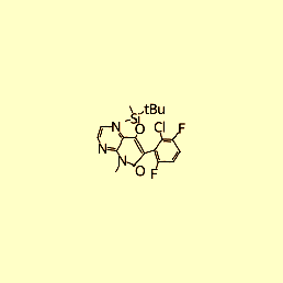 Cn1c(=O)c(-c2c(F)ccc(F)c2Cl)c(O[Si](C)(C)C(C)(C)C)c2nccnc21